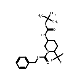 CC(C)(C)OC(=O)NC1CCC(C(F)(F)F)N(C(=O)OCc2ccccc2)C1